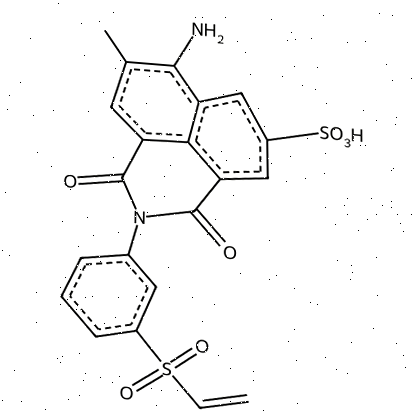 C=CS(=O)(=O)c1cccc(N2C(=O)c3cc(S(=O)(=O)O)cc4c(N)c(C)cc(c34)C2=O)c1